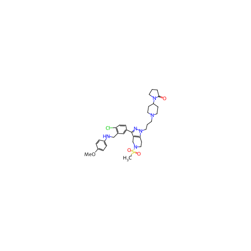 COc1ccc(NCc2cc(-c3nn(CCCN4CCC(N5CCCC5=O)CC4)c4c3CN(S(C)(=O)=O)CC4)ccc2Cl)cc1